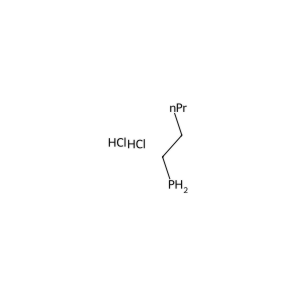 CCCCCP.Cl.Cl